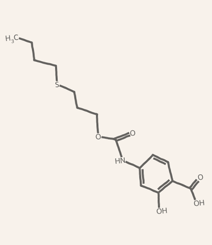 CCCCSCCCOC(=O)Nc1ccc(C(=O)O)c(O)c1